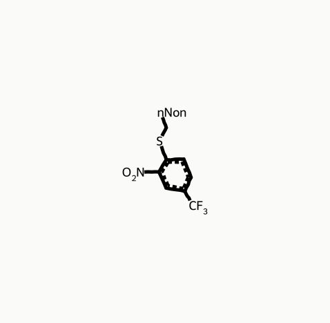 CCCCCCCCCCSc1ccc(C(F)(F)F)cc1[N+](=O)[O-]